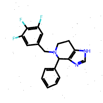 Fc1cc(CN2CCc3[nH]cnc3C2c2ccccc2)cc(F)c1F